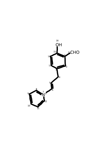 O=Cc1cc(CC=C[n+]2ccccc2)ccc1O